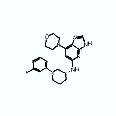 Fc1cccc(N2CCC[C@@H](Nc3cc(N4CCOCC4)c4nc[nH]c4n3)C2)c1